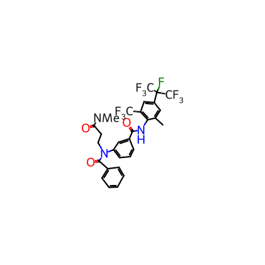 CNC(=O)CCN(C(=O)c1ccccc1)c1cccc(C(=O)Nc2c(C)cc(C(F)(C(F)(F)F)C(F)(F)F)cc2C(F)(F)F)c1